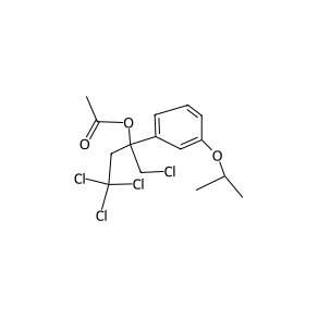 CC(=O)OC(CCl)(CC(Cl)(Cl)Cl)c1cccc(OC(C)C)c1